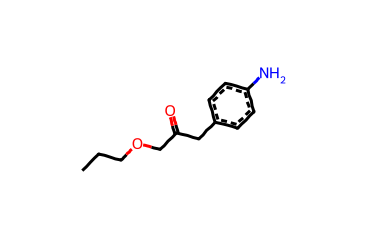 CCCOCC(=O)Cc1ccc(N)cc1